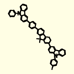 Cc1ccc(-n2c3ccccc3c3cc(C4=CC5=C(CC4)c4ccc(-c6ccc(-c7ccc8c(c7)c7ccccc7n8-c7ccccc7)cc6)cc4C5(C)C)ccc32)cc1